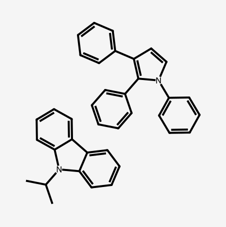 CC(C)n1c2ccccc2c2ccccc21.c1ccc(-c2ccn(-c3ccccc3)c2-c2ccccc2)cc1